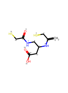 C=C(CS)NC(CNC(=O)CS)CC(=O)O